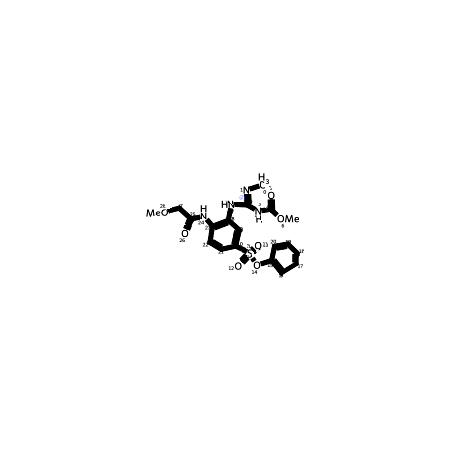 C/N=C(\NC(=O)OC)Nc1cc(S(=O)(=O)Oc2ccccc2)ccc1NC(=O)COC